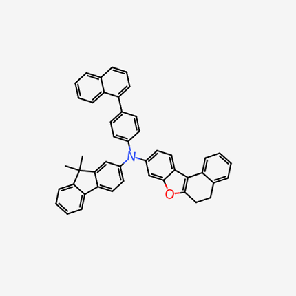 CC1(C)c2ccccc2-c2ccc(N(c3ccc(-c4cccc5ccccc45)cc3)c3ccc4c5c(oc4c3)CCc3ccccc3-5)cc21